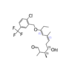 CC/C(=C\C(C)=C/C[C@H](O)[C@@H](C)C(C)C=O)OCc1cc(C(F)(F)F)ccc1Cl